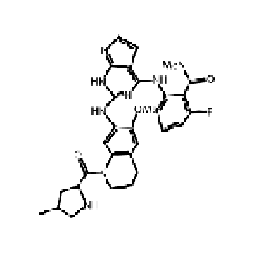 CNC(=O)c1c(F)cccc1Nc1nc(Nc2cc3c(cc2OC)CCCN3C(=O)[C@@H]2CC(C)CN2)[nH]c2nccc1-2